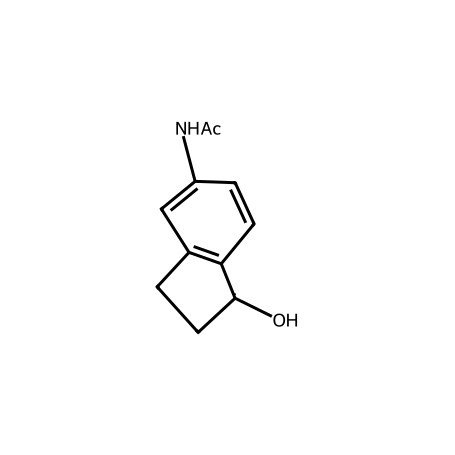 CC(=O)Nc1ccc2c(c1)CC[C]2O